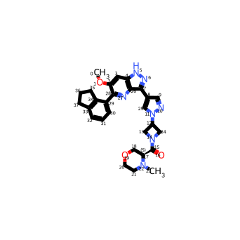 COc1cc2[nH]nc(-c3cnn(C4CN(C(=O)[C@@H]5COCCN5C)C4)c3)c2nc1-c1cccc2c1CCC2